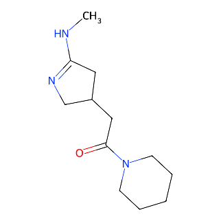 CNC1=NCC(CC(=O)N2CCCCC2)C1